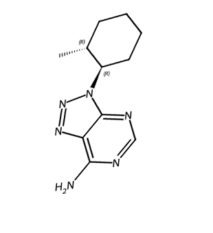 C[C@@H]1CCCC[C@H]1n1nnc2c(N)ncnc21